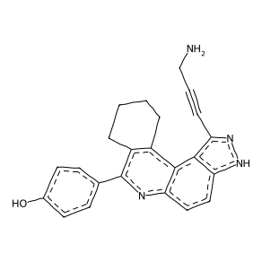 NCC#Cc1n[nH]c2ccc3nc(-c4ccc(O)cc4)c4c(c3c12)CCCC4